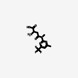 Cc1cc(C(F)(F)F)nc(N(C)C(=O)CC(N)C(=O)O)n1